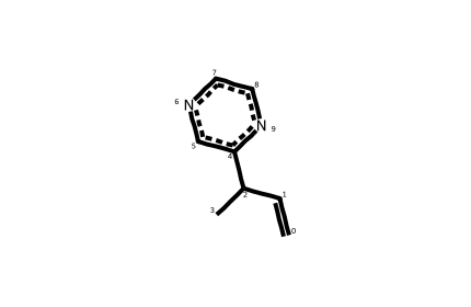 C=CC(C)c1cnccn1